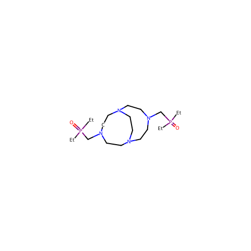 CCP(=O)(CC)CN1CCN2CCN(CC1)CCN(CP(=O)(CC)CC)CC2